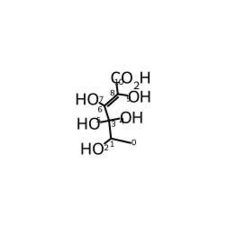 CC(O)C(O)(O)C(O)=C(O)C(=O)O